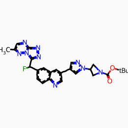 Cc1cnc2nnc(C(F)c3ccc4ncc(-c5cnn(C6CN(C(=O)OC(C)(C)C)C6)c5)cc4c3)n2n1